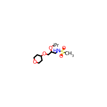 CC(C)OC(CNS(C)(=O)=O)COC1CCOCC1